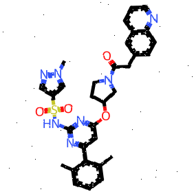 Cc1cccc(C)c1-c1cc(OC2CCN(C(=O)Cc3ccc4ncccc4c3)C2)nc(NS(=O)(=O)c2cnn(C)c2)n1